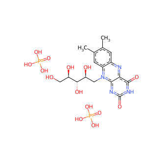 Cc1cc2nc3c(=O)[nH]c(=O)nc-3n(C[C@H](O)[C@H](O)[C@H](O)CO)c2cc1C.O=P(O)(O)O.O=P(O)(O)O